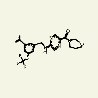 CC(C)c1cc(CNc2cnc(C(=O)N3CCCOC3)cn2)cc(OC(F)(F)F)c1